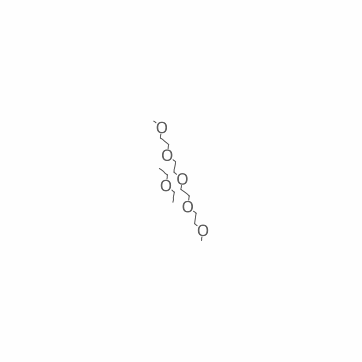 CCOCC.COCCOCCOCCOCCOC